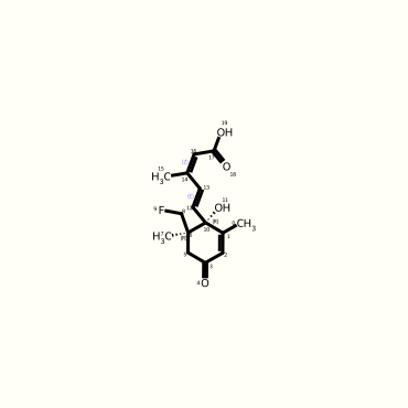 CC1=CC(=O)C[C@@](C)(CF)[C@@]1(O)/C=C/C(C)=C\C(=O)O